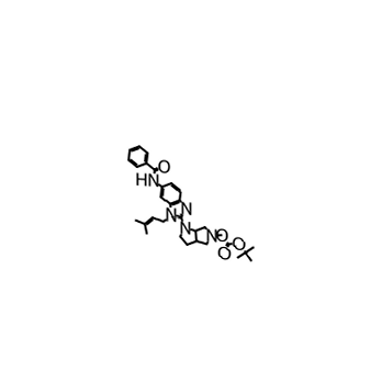 CC(C)=CCn1c(N2CCC3CN(OC(=O)OC(C)(C)C)CC32)nc2ccc(NC(=O)c3ccccc3)cc21